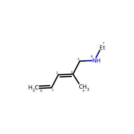 C=C/C=C(\C)CNCC